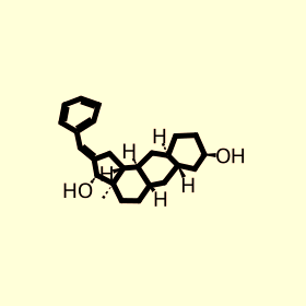 C[C@@]12CC[C@H]3C[C@H]4C[C@H](O)CC[C@@H]4C[C@@H]3[C@H]1CC(=Cc1ccccc1)[C@H]2O